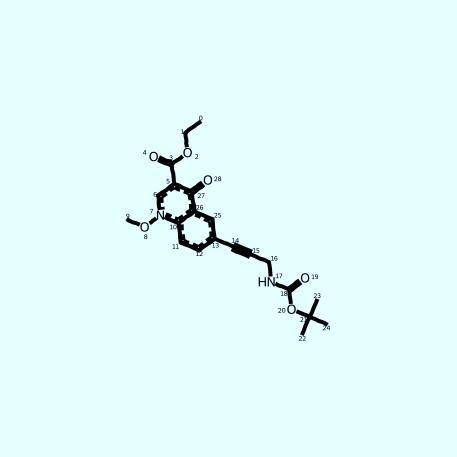 CCOC(=O)c1cn(OC)c2ccc(C#CCNC(=O)OC(C)(C)C)cc2c1=O